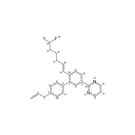 C=CCc1ccc(-c2cc(-c3ncccn3)ccc2C=CCCCC(C)F)cc1